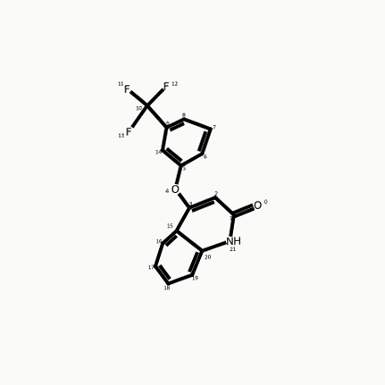 O=c1cc(Oc2cccc(C(F)(F)F)c2)c2ccccc2[nH]1